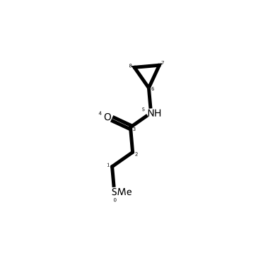 CSCCC(=O)NC1CC1